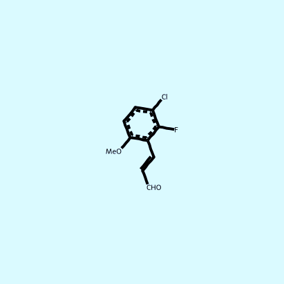 COc1ccc(Cl)c(F)c1C=CC=O